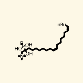 CCCC/C=C\CCCCC/C=C\CCCCCCCC(O)(C[N+](C)(C)C)P(=O)(O)O